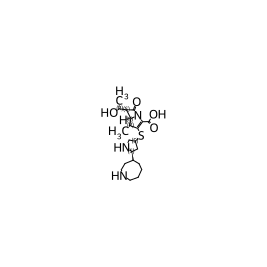 C[C@@H](O)[C@H]1C(=O)N2C(C(=O)O)=C(S[C@@H]3CN[C@H](C4CCCCNCC4)C3)[C@H](C)[C@H]12